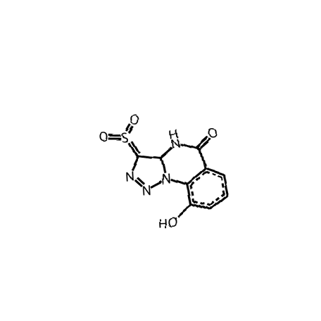 O=C1NC2C(=S(=O)=O)N=NN2c2c(O)cccc21